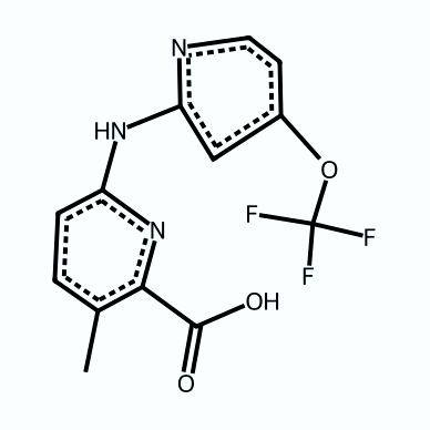 Cc1ccc(Nc2cc(OC(F)(F)F)ccn2)nc1C(=O)O